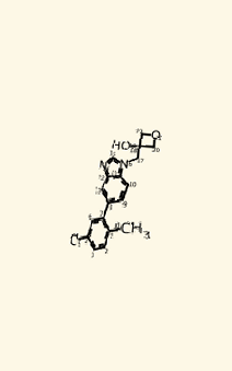 Cc1ccc(Cl)cc1-c1ccc2c(c1)ncn2CC1(O)COC1